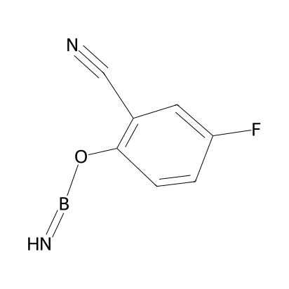 N#Cc1cc(F)ccc1OB=N